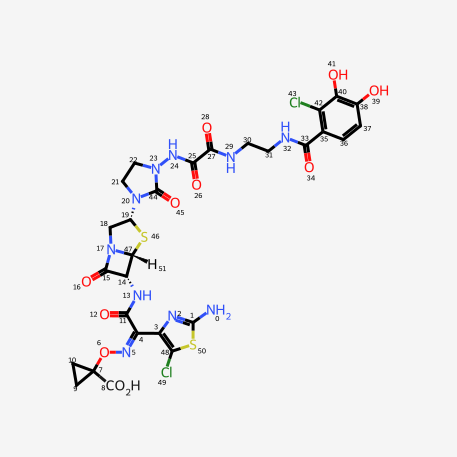 Nc1nc(/C(=N/OC2(C(=O)O)CC2)C(=O)N[C@@H]2C(=O)N3C[C@H](N4CCN(NC(=O)C(=O)NCCNC(=O)c5ccc(O)c(O)c5Cl)C4=O)S[C@H]23)c(Cl)s1